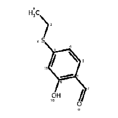 CCSc1ccc(C=O)c(O)c1